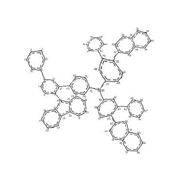 c1ccc(-c2ccc(-n3c4ccccc4c4ccccc43)c(-c3ccc(N(c4ccc(-c5ccc6ccccc6c5)c(-c5ccccc5)c4)c4ccc(-c5ccc6ccccc6c5)c(-c5ccccc5)c4)cc3)c2)cc1